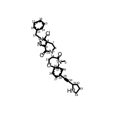 CN1C(=O)[C@@H](N2CCc3c(nn(Cc4ccccc4)c3Cl)C2=O)COc2ccc(C#CC3CCCN3)cc21